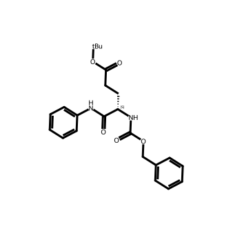 CC(C)(C)OC(=O)CC[C@H](NC(=O)OCc1ccccc1)C(=O)Nc1ccccc1